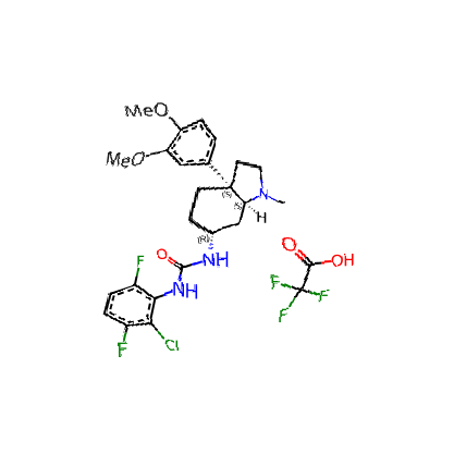 COc1ccc([C@@]23CC[C@@H](NC(=O)Nc4c(F)ccc(F)c4Cl)C[C@@H]2N(C)CC3)cc1OC.O=C(O)C(F)(F)F